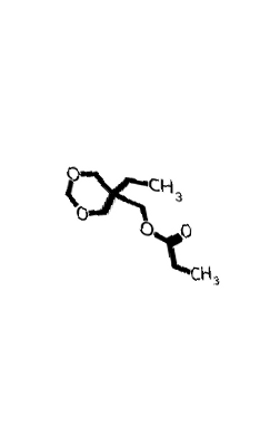 CCC(=O)OCC1(CC)COCOC1